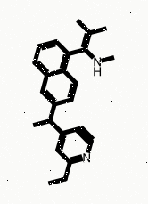 CCc1cc(C(C)c2ccc3c(C(NC)=C(C)C)cccc3c2)c#cn1